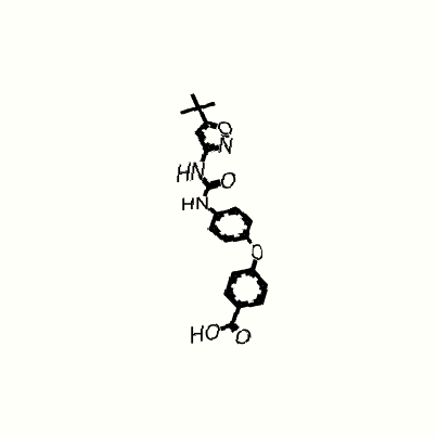 CC(C)(C)c1cc(NC(=O)Nc2ccc(Oc3ccc(C(=O)O)cc3)cc2)no1